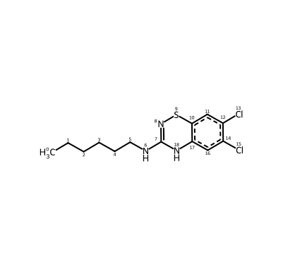 CCCCCCNC1=NSc2cc(Cl)c(Cl)cc2N1